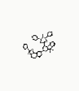 CC1(C)c2ccccc2-c2c(C3=NC(c4ccccc4)NC(c4ccccc4)=N3)cc(-c3ccc4ccc5nc(-c6ccccc6)sc5c4c3)cc21